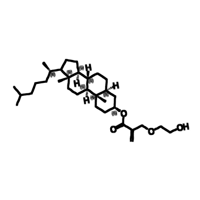 C=C(COCCO)C(=O)O[C@H]1CC[C@@]2(C)[C@@H](CC[C@@H]3[C@@H]2CC[C@]2(C)C([C@H](C)CCCC(C)C)CC[C@@H]32)C1